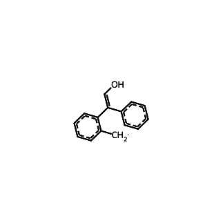 [CH2]c1ccccc1/C(=C/O)c1ccccc1